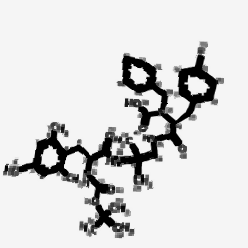 Cc1cc(O)cc(C)c1C[C@H](NC(=O)OC(C)(C)C)C(=O)NC(C)(C)CNC(=O)[C@H](Cc1ccc(F)cc1)N(Cc1ccccc1)C(=O)O